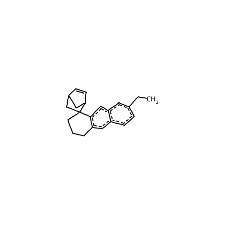 CCc1ccc2cc3c(cc2c1)C1(CCC3)CC2C=CC1C2